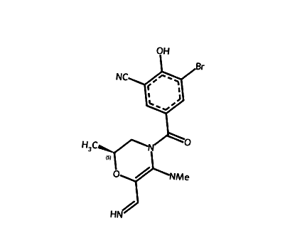 CNC1=C(C=N)O[C@@H](C)CN1C(=O)c1cc(Br)c(O)c(C#N)c1